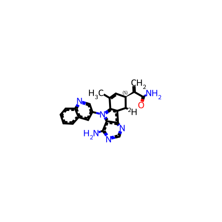 [2H]C1c2c(n(-c3cnc4ccccc4c3)c3c(N)ncnc23)C(C)=C[C@H]1C(=C)C(N)=O